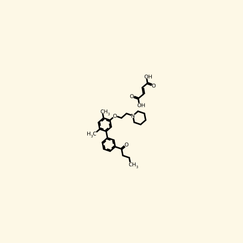 CCCC(=O)c1cccc(-c2cc(OCCN3CCCCC3)c(C)cc2C)c1.O=C(O)C=CC(=O)O